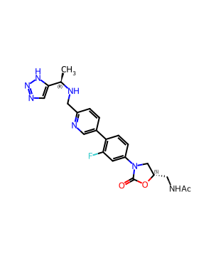 CC(=O)NC[C@H]1CN(c2ccc(-c3ccc(CN[C@H](C)c4cnn[nH]4)nc3)c(F)c2)C(=O)O1